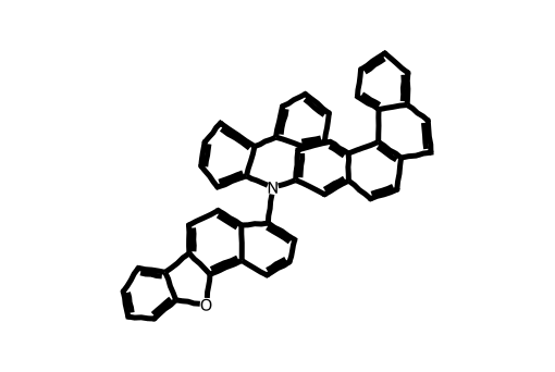 c1ccc(-c2ccccc2N(c2ccc3c(ccc4ccc5ccccc5c43)c2)c2cccc3c2ccc2c4ccccc4oc32)cc1